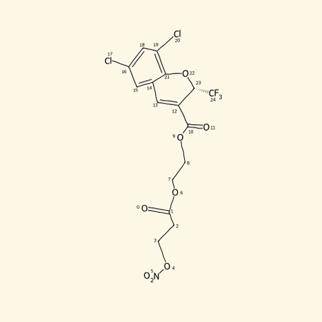 O=C(CCO[N+](=O)[O-])OCCOC(=O)C1=Cc2cc(Cl)cc(Cl)c2O[C@@H]1C(F)(F)F